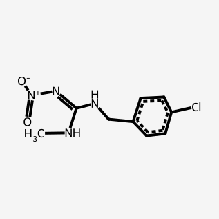 CN/C(=N\[N+](=O)[O-])NCc1ccc(Cl)cc1